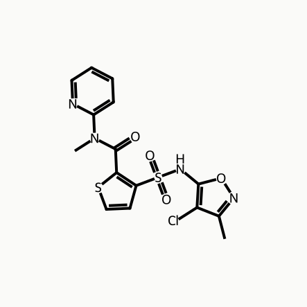 Cc1noc(NS(=O)(=O)c2ccsc2C(=O)N(C)c2ccccn2)c1Cl